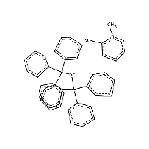 C[n+]1ccccc1C#N.c1ccc(C([N-]C(c2ccccc2)(c2ccccc2)c2ccccc2)(c2ccccc2)c2ccccc2)cc1